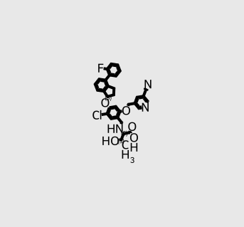 C[C@H](O)[C@H](NCc1cc(Cl)c(O[C@H]2CCc3c(-c4ccccc4F)cccc32)cc1OCc1cncc(C#N)c1)C(=O)O